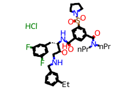 CCCN(CCC)C(=O)c1cc(C(=O)N[C@@H](Cc2cc(F)cc(F)c2)[C@H](O)CNCc2cccc(CC)c2)cc(S(=O)(=O)N2CCCC2)c1.Cl